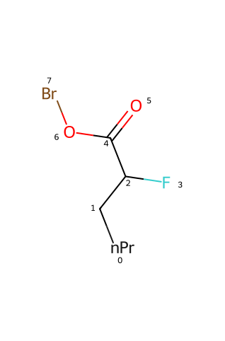 CCCCC(F)C(=O)OBr